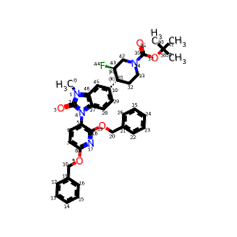 Cn1c(=O)n(-c2ccc(OCc3ccccc3)nc2OCc2ccccc2)c2ccc([C@H]3CCN(C(=O)OC(C)(C)C)C[C@@H]3F)cc21